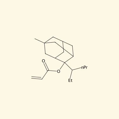 C=CC(=O)OC1(C(CC)CCC)C2CC3CC1CC(C)(C3)C2